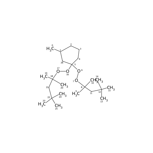 CC1CCCC(OOC(C)(C)CC(C)(C)C)(OOC(C)(C)CC(C)(C)C)C1